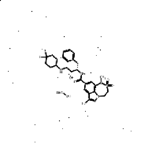 CCc1cn2c3c(cc(C(=O)N[C@@H](Cc4ccccc4)[C@H](O)CNC4CCC(F)(F)CC4)cc13)N(C)S(=O)(=O)CC2.O=CO